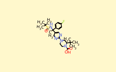 CC(N[S@@+]([O-])C(C)(C)C)(c1ccc(F)cc1)c1cnc(N2CCN(C(=O)O)C(C(C)(C)C)C2)nc1